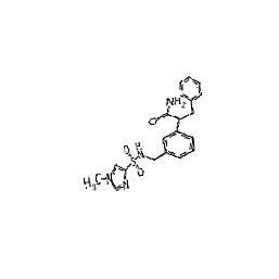 Cn1cnc(S(=O)(=O)NCc2cccc(C(Cc3ccccc3)C(N)=O)c2)c1